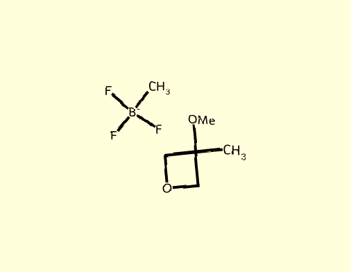 COC1(C)COC1.C[B-](F)(F)F